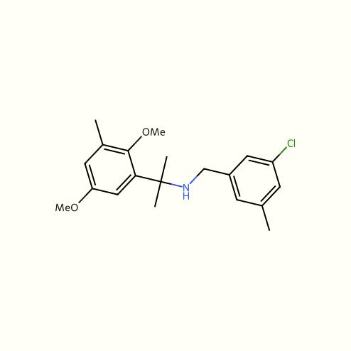 COc1cc(C)c(OC)c(C(C)(C)NCc2cc(C)cc(Cl)c2)c1